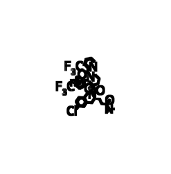 CCC[C@H]1N(C(=O)c2ncccc2C(F)(F)F)CCC[C@]1(Oc1csc(C(F)(F)F)c1)C(=O)N1Cc2ccc(Cl)cc2C[C@@H]1CCC(=O)N(C)C